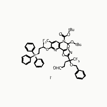 C[C@H](CC[P+](c1ccccc1)(c1ccccc1)c1ccccc1)Oc1nc(-c2nnc(C(CCC=O)(OCc3ccccc3)C(F)(F)F)o2)c(N(C(=O)OC(C)(C)C)C(=O)OC(C)(C)C)cc1C(F)(F)F.[I-]